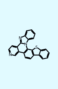 c1ccc2c(c1)nc1c3ccncc3c3ccc4c5ccccc5sc4c3n21